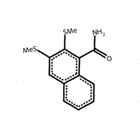 CSc1cc2ccccc2c(C(N)=O)c1SC